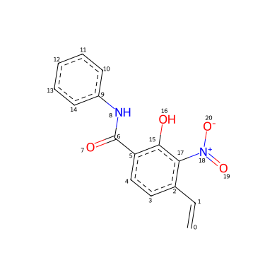 C=Cc1ccc(C(=O)Nc2ccccc2)c(O)c1[N+](=O)[O-]